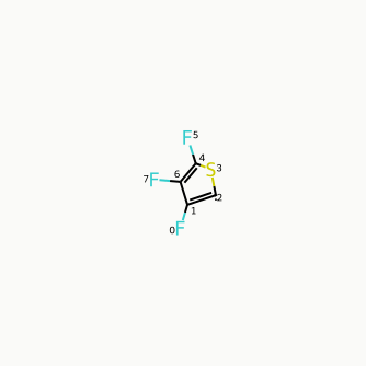 Fc1[c]sc(F)c1F